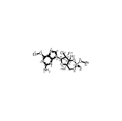 CCOc1nc(N)nc2c1ncn2[C@@H]1O[C@@H]2CO[P@](=S)(OC(C)C)O[C@H]2[C@]1(F)Cl